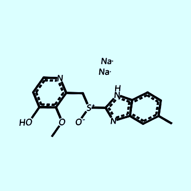 COc1c(O)ccnc1C[S+]([O-])c1nc2cc(C)ccc2[nH]1.[Na].[Na]